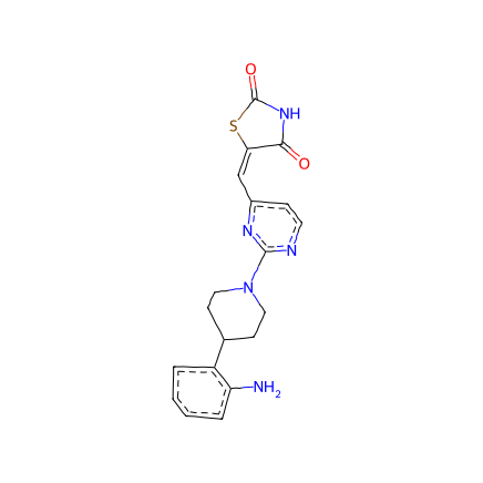 Nc1ccccc1C1CCN(c2nccc(/C=C3/SC(=O)NC3=O)n2)CC1